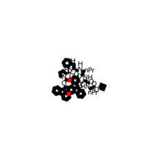 CCC[C@H](NC(=O)[C@@H]1C[C@@H]2CCCC[C@@H]2N1C(=O)[C@@H]1CCCN1C(=O)OCC1c2ccccc2-c2ccccc21)C(=O)N[C@@H](CSC(c1ccccc1)(c1ccccc1)c1ccccc1)C(=O)N[C@@H](CCC)C(=O)OC1CCC1